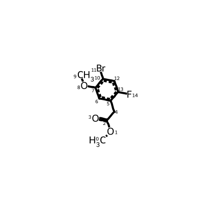 COC(=O)Cc1cc(OC)c(Br)cc1F